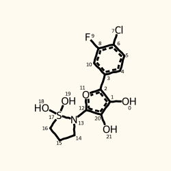 Oc1c(-c2ccc(Cl)c(F)c2)oc(N2CCCS2(O)O)c1O